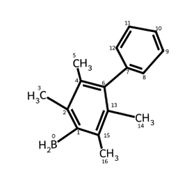 Bc1c(C)c(C)c(-c2ccccc2)c(C)c1C